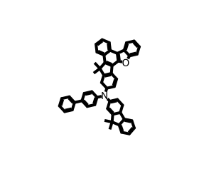 CC1(C)C2=CC(N(c3ccc(-c4ccccc4)cc3)C3C=CC4=C(C3)C(C)(C)c3c4c4oc5ccccc5c4c4ccccc34)=CCC2c2ccccc21